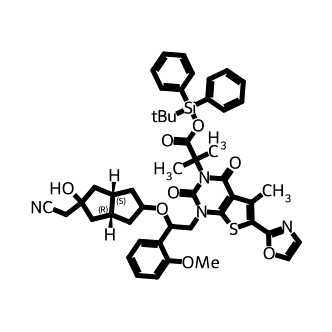 COc1ccccc1C(Cn1c(=O)n(C(C)(C)C(=O)O[Si](c2ccccc2)(c2ccccc2)C(C)(C)C)c(=O)c2c(C)c(-c3ncco3)sc21)OC1C[C@@H]2CC(O)(CC#N)C[C@@H]2C1